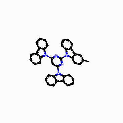 Cc1ccc2c(c1)c1ccccc1n2-c1nc(-n2c3ccccc3c3ccccc32)cc(-n2c3ccccc3c3ccccc32)n1